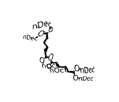 CCCCCCCCCCOC(CCC=CC(OCCCCCCCC)OC(C=CCCC(OCCCCCCCCCC)OCCCCCCCCCC)OCCCCCCCC)OCCCCCCCCCC